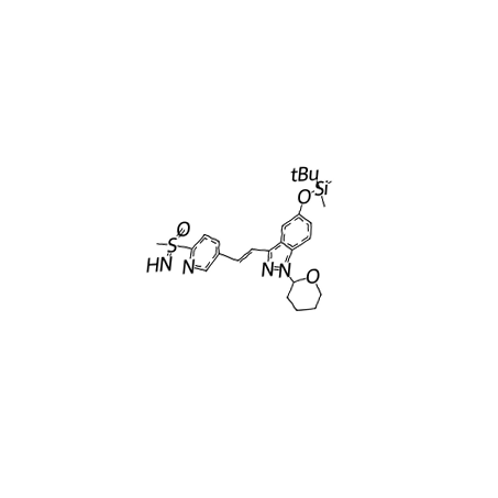 CC(C)(C)[Si](C)(C)Oc1ccc2c(c1)c(/C=C/c1ccc(S(C)(=N)=O)nc1)nn2C1CCCCO1